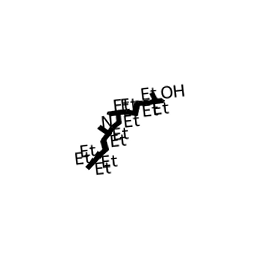 CCC(C)(CC)C(/C=C/C1(CC)CN2CC(CC)(C(/C=C/C(CC)(CC)C(C)(CC)CO)(CC)CC)CC21CC)(CC)CC